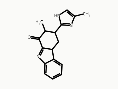 Cc1c[nH]c(C2CC3C(=Nc4ccccc43)C(=O)C2C)n1